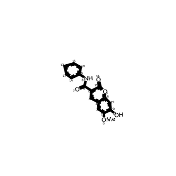 COc1cc2cc(C(=O)Nc3ccccc3)c(=O)oc2cc1O